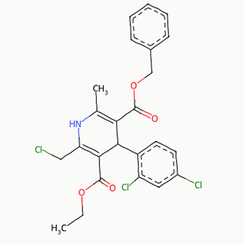 CCOC(=O)C1=C(CCl)NC(C)=C(C(=O)OCc2ccccc2)C1c1ccc(Cl)cc1Cl